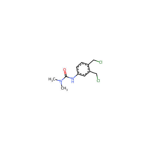 CN(C)C(=O)Nc1ccc(CCl)c(CCl)c1